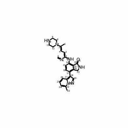 C=N/C(=C\C=C(/C)N1CCNCC1)Nc1ccc(-c2cnn3c(C)cccc23)c2c1C(=O)NC2